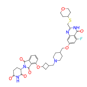 O=C1CCC(N2C(=O)c3cccc(OC4CC(CN5CCC(COc6cc(F)c7c(=O)[nH]c(CSC8CCOCC8)nc7c6)CC5)C4)c3C2=O)C(=O)N1